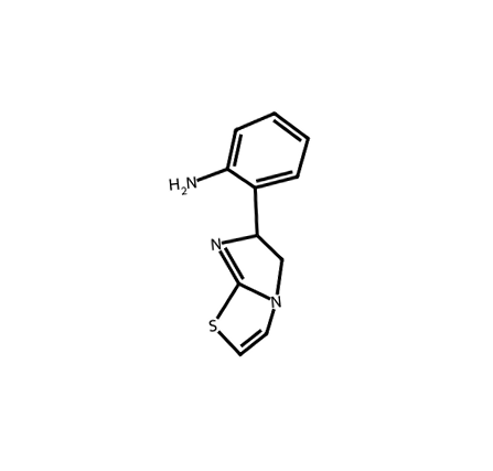 Nc1ccccc1C1CN2C=CSC2=N1